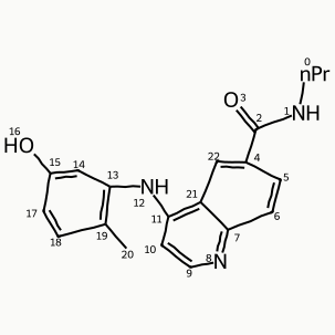 CCCNC(=O)c1ccc2nccc(Nc3cc(O)ccc3C)c2c1